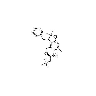 Cc1cc2c(c(C)c1NC(=O)CC(C)(C)C)C(Cc1ccccc1)C(C)(C)O2